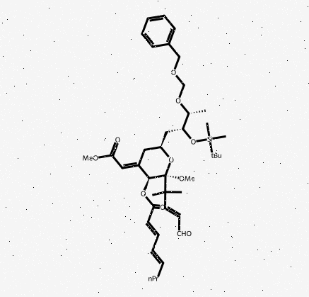 CCCC=CC=CC(=O)O[C@H]1C(=CC(=O)OC)C[C@@H](C[C@@H](O[Si](C)(C)C(C)(C)C)[C@@H](C)OCOCc2ccccc2)O[C@@]1(OC)C(C)(C)C=CC=O